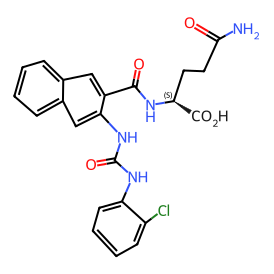 NC(=O)CC[C@H](NC(=O)c1cc2ccccc2cc1NC(=O)Nc1ccccc1Cl)C(=O)O